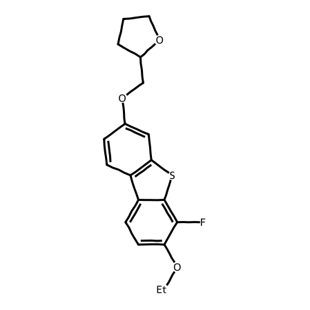 CCOc1ccc2c(sc3cc(OCC4CCCO4)ccc32)c1F